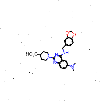 CN(C)c1ccc2nc(N3CCC(C(=O)O)CC3)nc(NCc3ccc4c(c3)OCO4)c2c1